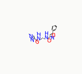 Cn1cnc(C(=O)NCCCNC(=O)c2cc(-c3ccccc3)on2)c1